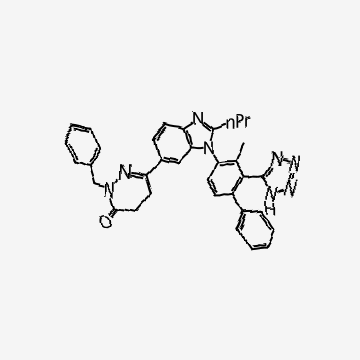 CCCc1nc2ccc(C3=NN(Cc4ccccc4)C(=O)CC3)cc2n1-c1ccc(-c2ccccc2)c(-c2nnn[nH]2)c1C